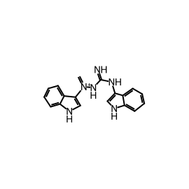 C=[N+](NC(=N)Nc1c[nH]c2ccccc12)c1c[nH]c2ccccc12